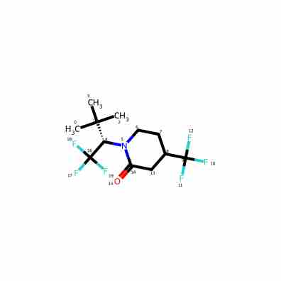 CC(C)(C)[C@H](N1CCC(C(F)(F)F)CC1=O)C(F)(F)F